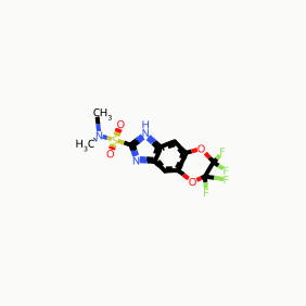 CN(C)S(=O)(=O)c1nc2cc3c(cc2[nH]1)OC(F)(F)C(F)(F)O3